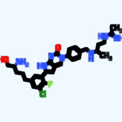 CC(=N)NCCC(C)NCc1ccc(-n2cc3cc(-c4cc(CCC[C@@H](N)CO)cc(Cl)c4F)[nH]c3nc2=O)cc1